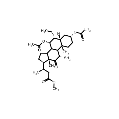 B[C@@H]1C(=O)[C@@]2(C)C(CC[C@@H]2[C@H](C)CC(=O)OC)C2C1[C@@]1(C)CC[C@@H](OC(C)=O)C[C@H]1[C@@H](CC)[C@H]2OC(C)=O